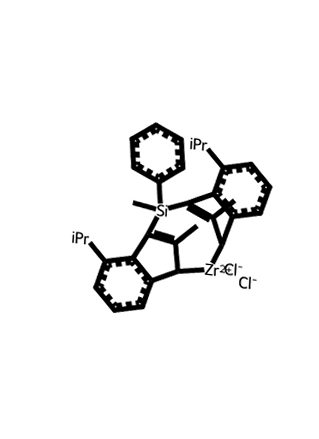 CC1=C2c3c(C(C)C)cccc3[CH]1[Zr+2][CH]1C(C)=C(c3c(C(C)C)cccc31)[Si]2(C)c1ccccc1.[Cl-].[Cl-]